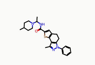 Cc1nn(-c2ccccc2)c2c1-c1sc(C(=O)NC(C)N3CCC(C)CC3)cc1CC2